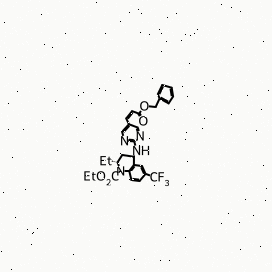 CCOC(=O)N1c2ccc(C(F)(F)F)cc2[C@@H](Nc2ncc(/C=C\C(=O)OCc3ccccc3)cn2)C[C@H]1CC